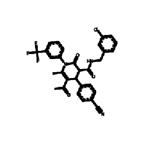 CC(=O)C1=C(C)N(c2cccc(C(F)(F)F)c2)C(=O)C(C(=O)NCc2cccc(Cl)c2)C1c1ccc(C#N)cc1